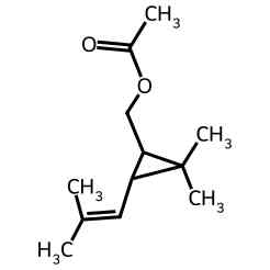 CC(=O)OCC1C(C=C(C)C)C1(C)C